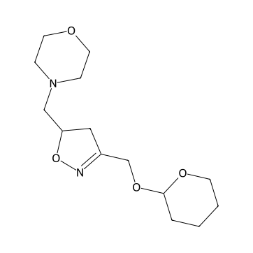 C1CCC(OCC2=NOC(CN3CCOCC3)C2)OC1